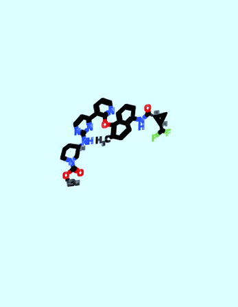 Cc1ccc2c(NC(=O)[C@@H]3C[C@H]3C(F)F)cccc2c1Oc1ncccc1-c1ccnc(N[C@H]2CCCN(C(=O)OC(C)(C)C)C2)n1